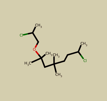 CC(Cl)CCC(C)(C)CC(C)(C)OCC(C)Cl